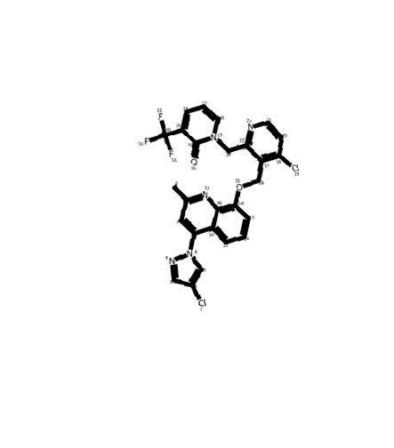 Cc1cc(-n2cc(Cl)cn2)c2cccc(OCc3c(Cl)ccnc3Cn3cccc(C(F)(F)F)c3=O)c2n1